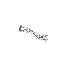 c1cc(N(CC2CO2)CC2CO2)ccc1OCCOc1ccc(N(CC2CO2)CC2CO2)cc1